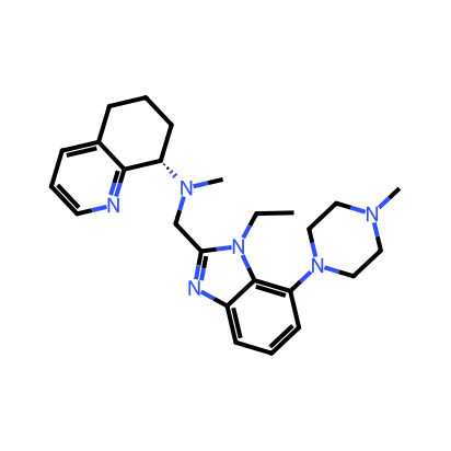 CCn1c(CN(C)[C@H]2CCCc3cccnc32)nc2cccc(N3CCN(C)CC3)c21